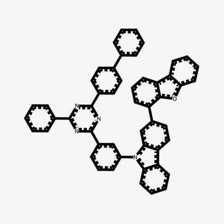 c1ccc(-c2ccc(-c3nc(-c4ccccc4)nc(-c4cccc(-n5c6ccccc6c6ccc(-c7cccc8c7oc7ccccc78)cc65)c4)n3)cc2)cc1